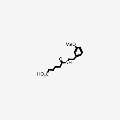 COc1cccc(CCNC(=O)CCCCC(=O)O)c1